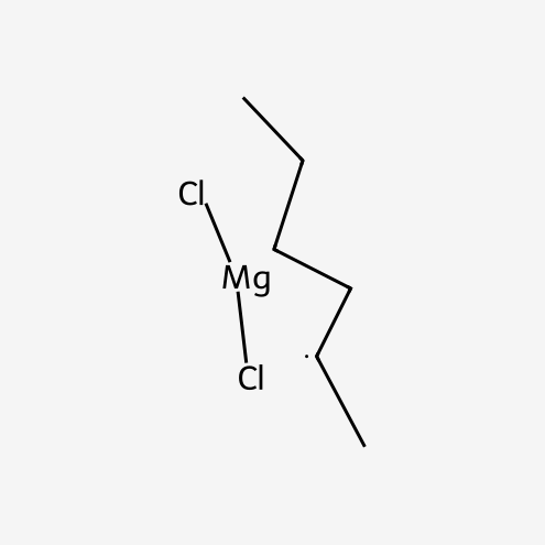 C[CH]CCCC.[Cl][Mg][Cl]